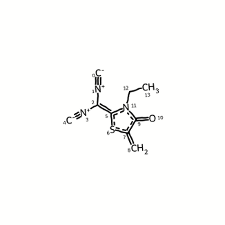 [C-]#[N+]C([N+]#[C-])=c1sc(=C)c(=O)n1CC